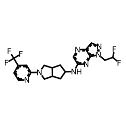 FC(F)Cn1ncc2ncc(NC3CC4CN(c5cc(C(F)(F)F)ccn5)CC4C3)nc21